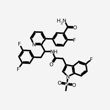 CS(=O)(=O)n1cc(CC(=O)NC(Cc2cc(F)cc(F)c2)c2ncccc2-c2ccc(F)c(C(N)=O)c2)c2cc(F)ccc21